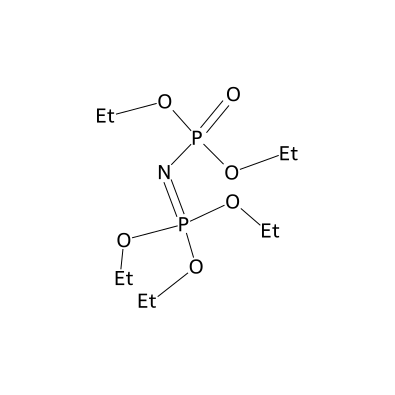 CCOP(=O)(N=P(OCC)(OCC)OCC)OCC